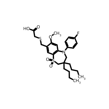 CCCCC1(CCCC)CN(c2ccc(F)cc2)c2cc(OC)c(CSCC(=O)O)cc2S(=O)(=O)C1